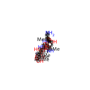 CCN[C@H]1CO[C@@H](O[C@H]2[C@H](O[C@H]3C#CC=CC#C[C@]4(O)CC(=O)C(NC(=O)OC)=C3/C4=C\CSSC(C)(C)c3ccc(N)cc3)O[C@H](C)[C@@H](NO[C@H]3C[C@H](O)[C@H](SC(=O)c4c(C)c(I)c(O[C@@H]5O[C@@H](C)[C@H](O)[C@@H](OC)[C@H]5O)c(OC)c4OC)[C@@H](C)O3)[C@@H]2O)C[C@@H]1OC